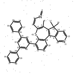 C=N/C=C\C1=C(C)C2=C(c3cnccc3C2(C)C)c2cccc(-c3cc(-c4ccccc4)cc(-c4ccccc4)c3)c2S1